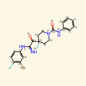 N=C(Nc1ccc(F)c(Br)c1)C(=O)C1(F)CCN(C(=O)Nc2ccccc2)CC1